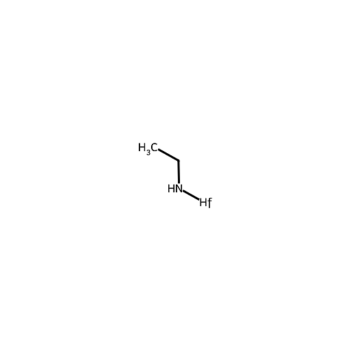 CC[NH][Hf]